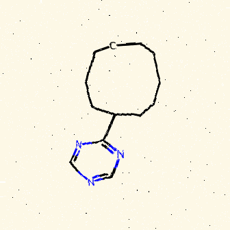 c1ncnc(C2CCCCCCCCC2)n1